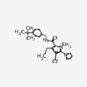 CCc1c(Cl)c(-n2cccc2)n(C)c1C(=O)NCc1ccc(C(C)(C)C)cc1